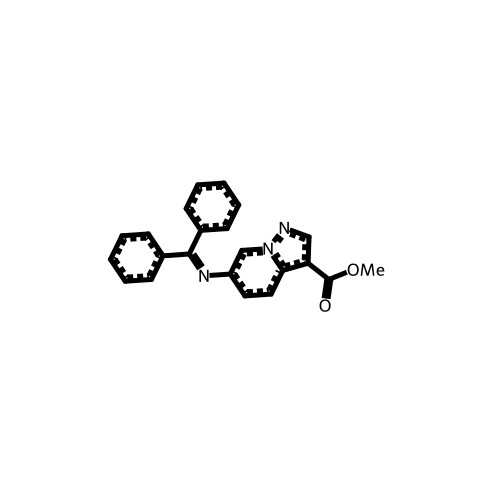 COC(=O)c1cnn2cc(N=C(c3ccccc3)c3ccccc3)ccc12